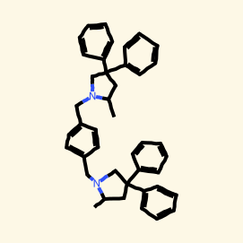 CC1CC(c2ccccc2)(c2ccccc2)CN1Cc1ccc(CN2CC(c3ccccc3)(c3ccccc3)CC2C)cc1